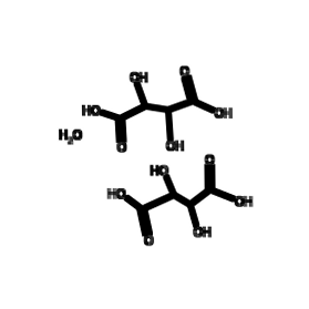 O.O=C(O)C(O)C(O)C(=O)O.O=C(O)C(O)C(O)C(=O)O